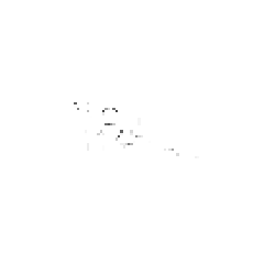 Br.CCCCCCCCCCCCCCOc1ccc(CN(C(C)=O)c2ccccc2CN2C=C(C)SC2)cc1Cl